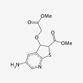 COC(=O)COC1c2cc(N)cnc2SC1C(=O)OC